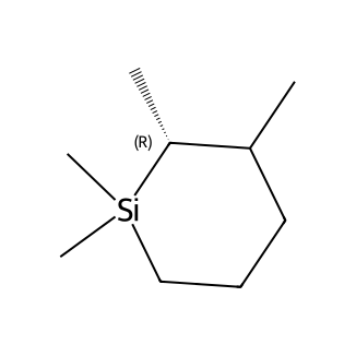 CC1CCC[Si](C)(C)[C@@H]1C